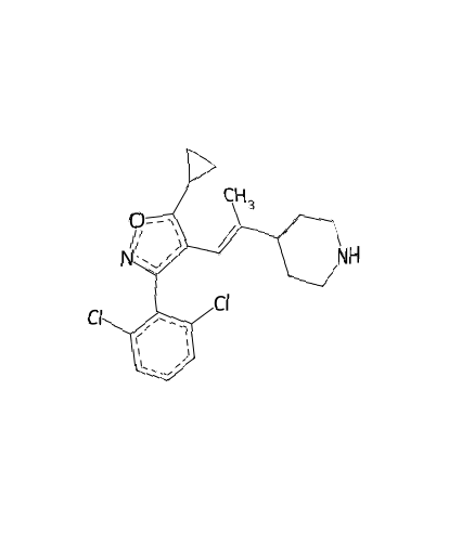 CC(=Cc1c(-c2c(Cl)cccc2Cl)noc1C1CC1)C1CCNCC1